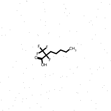 CCCCCC(F)(C(=O)O)C(F)(F)F